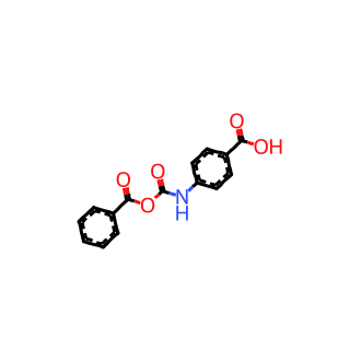 O=C(Nc1ccc(C(=O)O)cc1)OC(=O)c1ccccc1